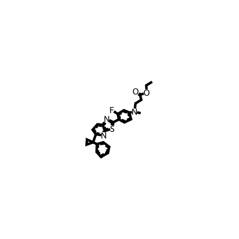 CCOC(=O)CCN(C)c1ccc(-c2nc3ccc(C4(c5ccccc5)CC4)nc3s2)c(F)c1